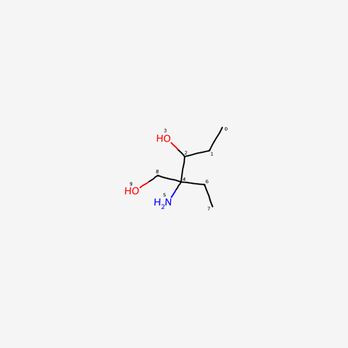 CCC(O)C(N)(CC)CO